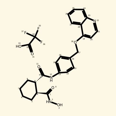 O=C(NO)[C@H]1CCCC[C@@H]1C(=O)Nc1ccc(COc2ccnc3ccccc23)cc1.O=C(O)C(F)(F)F